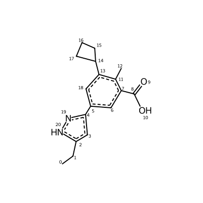 CCc1cc(-c2cc(C(=O)O)c(C)c(C3CCC3)c2)n[nH]1